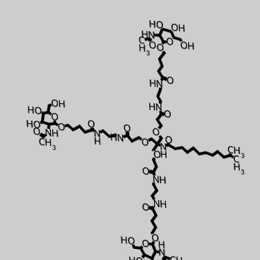 CC(=O)NC1C(OCCCCC(=O)NCCCNC(=O)CCOCC(COCCC(=O)NCCCNC(=O)CCCCOC2OC(CO)C(O)C(O)C2NC(C)=O)(COCCC(=O)NCCCNC(=O)CCCCOC2OC(CO)C(O)C(O)C2NC(C)=O)NC(=O)CCCCCCCCCC(C)C)OC(CO)C(O)C1O